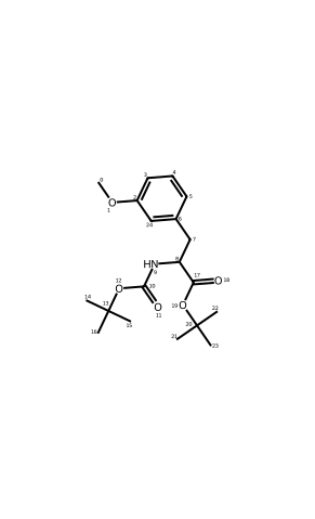 COc1cccc(CC(NC(=O)OC(C)(C)C)C(=O)OC(C)(C)C)c1